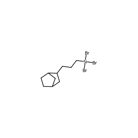 Br[Si](Br)(Br)CCCC1CC2CCC1C2